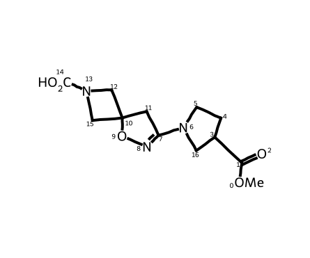 COC(=O)C1CCN(C2=NOC3(C2)CN(C(=O)O)C3)C1